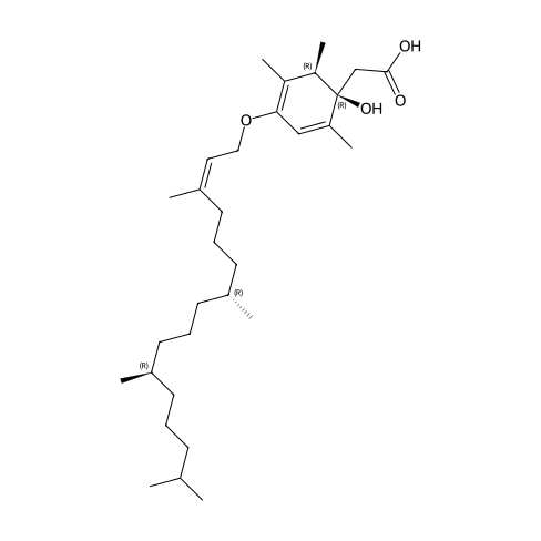 CC(=CCOC1=C(C)[C@@H](C)[C@](O)(CC(=O)O)C(C)=C1)CCC[C@H](C)CCC[C@H](C)CCCC(C)C